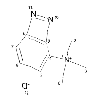 C[N+](C)(C)c1cccc2c1N=N2.[Cl-]